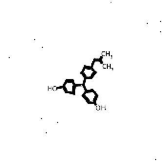 CC(C)Cc1ccc(C(c2ccc(O)cc2)c2ccc(O)cc2)cc1